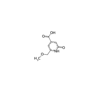 COCc1cc(C(=O)O)cc(=O)[nH]1